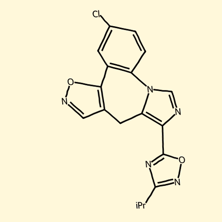 CC(C)c1noc(-c2ncn3c2Cc2cnoc2-c2cc(Cl)ccc2-3)n1